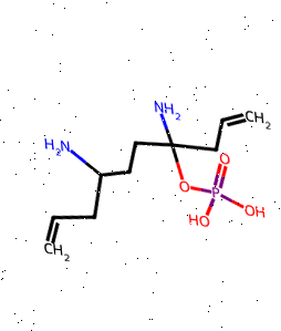 C=CCC(N)CCC(N)(CC=C)OP(=O)(O)O